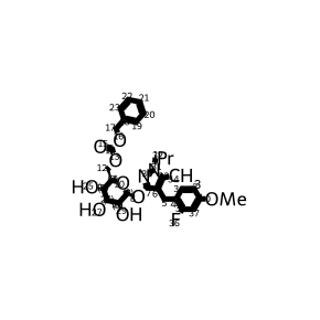 COc1ccc(Cc2c(O[C@@H]3O[C@H](COC(=O)OCc4ccccc4)[C@@H](O)[C@H](O)[C@H]3O)nn(C(C)C)c2C)c(F)c1